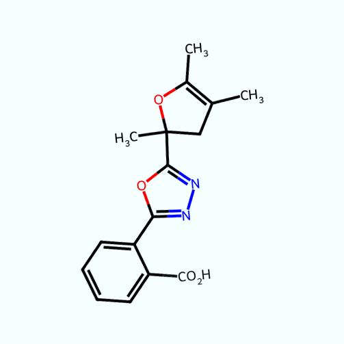 CC1=C(C)OC(C)(c2nnc(-c3ccccc3C(=O)O)o2)C1